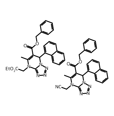 CC1=C(C(=O)OCc2ccccc2)C(c2cccc3ccccc23)n2nnnc2N1CC#N.CCOC(=O)CN1C(C)=C(C(=O)OCc2ccccc2)C(c2cccc3ccccc23)n2nnnc21